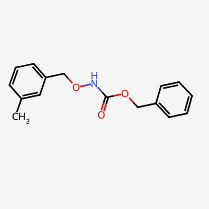 Cc1cccc(CONC(=O)OCc2ccccc2)c1